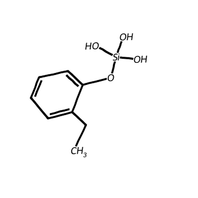 CCc1ccccc1O[Si](O)(O)O